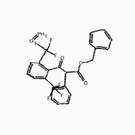 O=C(OCc1ccccc1)C(C(=O)c1c(C(F)(F)F)cccc1C(F)(F)F)c1ccccc1.O=[PH3]